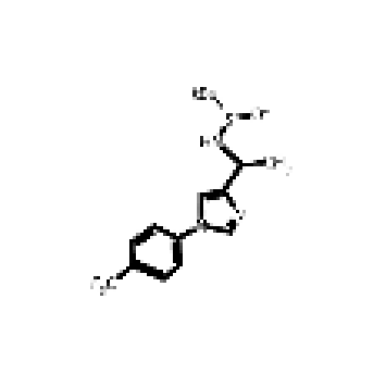 C[C@H](N[S@@+]([O-])C(C)(C)C)c1cn(-c2ccc(C(F)(F)F)cc2)cn1